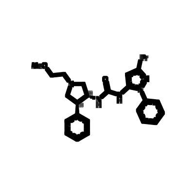 COCCN1C[C@H](NC(=O)Nc2cc(C(C)C)nn2-c2ccccc2)[C@@H](c2ccccc2)C1